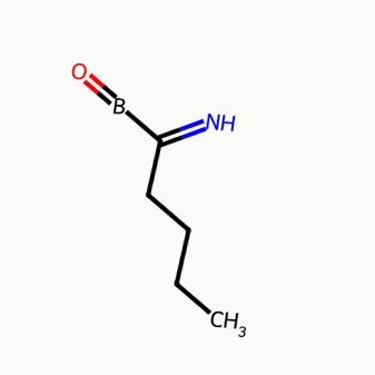 CCCCC(=N)B=O